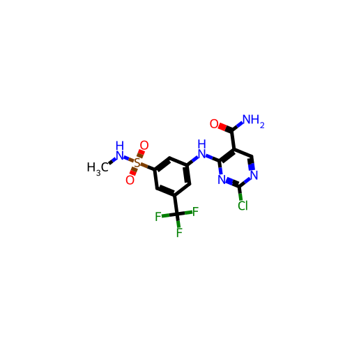 CNS(=O)(=O)c1cc(Nc2nc(Cl)ncc2C(N)=O)cc(C(F)(F)F)c1